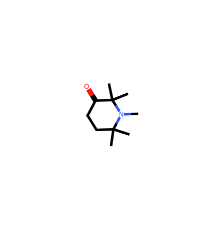 CN1C(C)(C)CCC(=O)C1(C)C